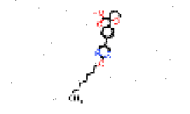 CCCCCCCCOc1ncc(-c2ccc([C@@]3(C(=O)O)CCCO3)cc2)cn1